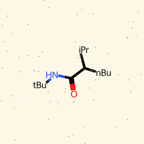 CCCCC(C(=O)NC(C)(C)C)C(C)C